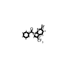 O=C(c1ccccc1)n1cc(C(F)(F)F)c2ccc(Br)nc21